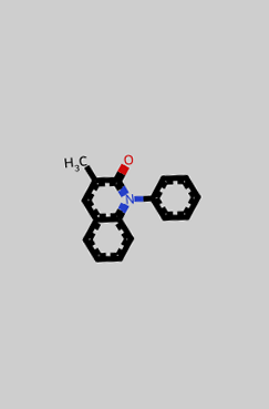 Cc1cc2ccccc2n(-c2ccccc2)c1=O